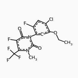 CCOc1cc(-n2c(=O)c(F)c(C(F)(F)F)n(C)c2=O)c(F)cc1Cl